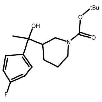 CC(C)(C)OC(=O)N1CCCC(C(C)(O)c2ccc(F)cc2)C1